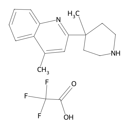 Cc1cc(C2(C)CCNCC2)nc2ccccc12.O=C(O)C(F)(F)F